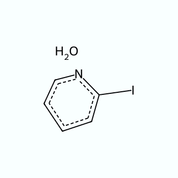 Ic1ccccn1.O